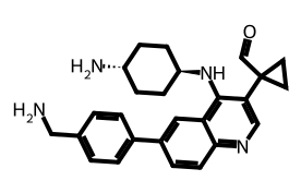 NCc1ccc(-c2ccc3ncc(C4(C=O)CC4)c(N[C@H]4CC[C@H](N)CC4)c3c2)cc1